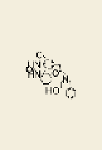 O=C1Nc2c(Cl)cc3cc(CN(CCO)Cc4ccccc4)oc3c2C2(CCCCC2)N1